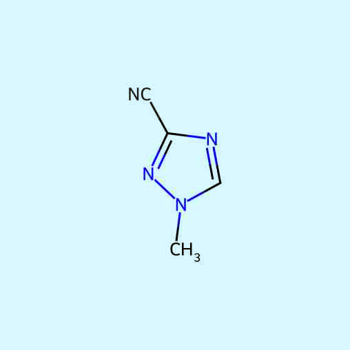 Cn1cnc(C#N)n1